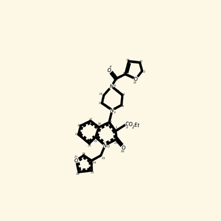 CCOC(=O)c1c(N2CCN(C(=O)C3=CCCO3)CC2)c2ccccc2n(Cc2ccoc2)c1=O